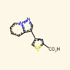 O=C(O)c1cc(-c2cnn3ccccc23)cs1